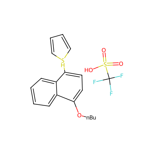 CCCCOc1ccc([SH]2C=CC=C2)c2ccccc12.O=S(=O)(O)C(F)(F)F